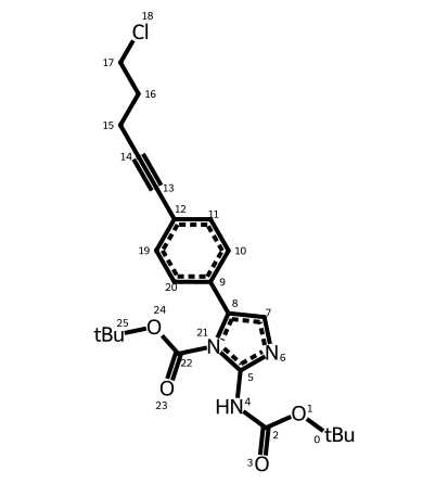 CC(C)(C)OC(=O)Nc1ncc(-c2ccc(C#CCCCCl)cc2)n1C(=O)OC(C)(C)C